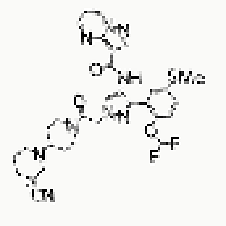 CSc1ccc(OC(F)F)c(-c2nn(CC(=O)N3CCC(N4CCC[C@H](C#N)C4)CC3)cc2NC(=O)c2cnn3cccnc23)c1